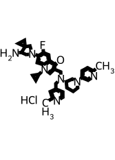 Cc1ccc(N2CCC[C@H](N(Cc3ccnc(C)c3)Cc3cn(C4CC4)c4cc(N5CC(N)C6(CC6)C5)c(F)cc4c3=O)C2)cn1.Cl